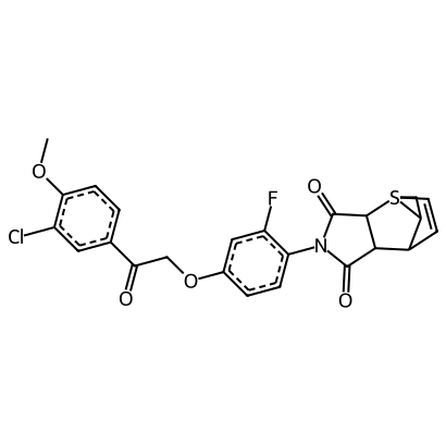 COc1ccc(C(=O)COc2ccc(N3C(=O)C4C5C=CS6(CC56)C4C3=O)c(F)c2)cc1Cl